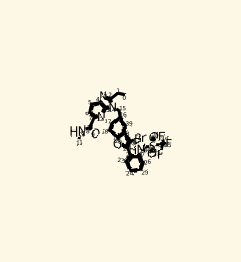 CCc1nc2ccc(C(=O)NC)nc2n1Cc1ccc2oc(-c3ccccc3NS(=O)(=O)C(F)(F)F)c(Br)c2c1